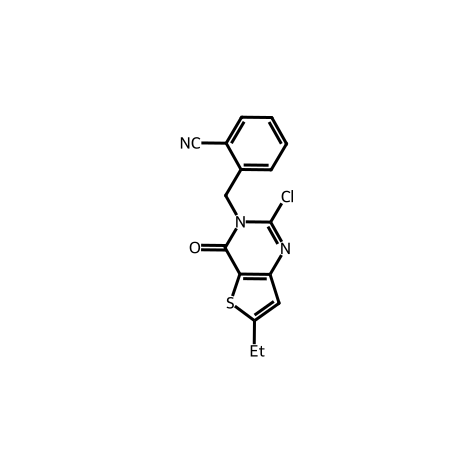 CCc1cc2nc(Cl)n(Cc3ccccc3C#N)c(=O)c2s1